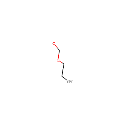 [CH2]CCCCOC[O]